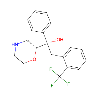 O[C@@](Cc1ccccc1C(F)(F)F)(c1ccccc1)[C@H]1CNCCO1